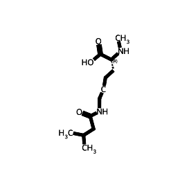 CN[C@H](CCCCNC(=O)CC(C)C)C(=O)O